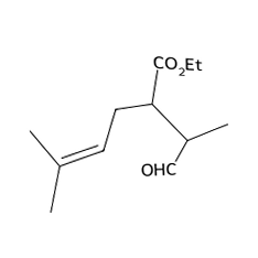 CCOC(=O)C(CC=C(C)C)C(C)C=O